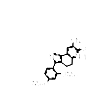 COc1ccc(-c2noc3c2CCc2[nH]c(=O)c(C#N)cc2-3)c(OC)c1